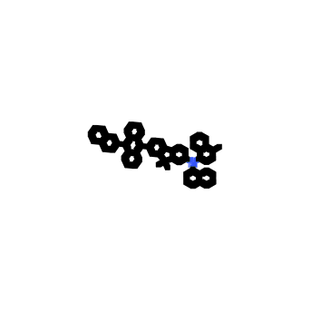 Cc1ccc(N(c2ccc3c(c2)C(C)(C)c2cc(-c4c5ccccc5c(-c5ccc6ccccc6c5)c5ccccc45)ccc2-3)c2cccc3ccccc23)c2ccccc12